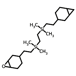 C[Si](C)(CCC1CCC2CC2C1)CC[Si](C)(C)CCC1CCC2OC2C1